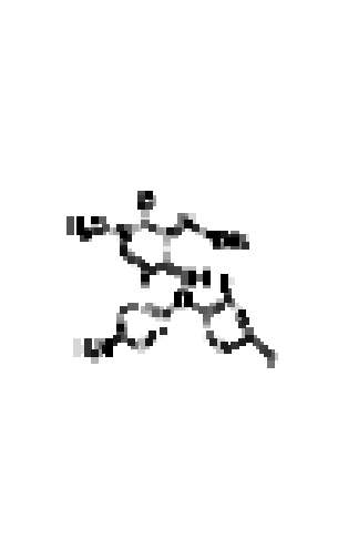 CN/N=C1\C(=N)C(c2cc(N)ccc2Oc2ccc(F)cc2F)=CN(C)C1=O